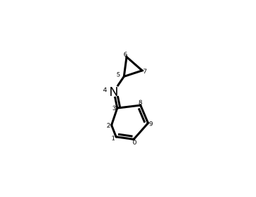 C1=CCC(=NC2CC2)C=C1